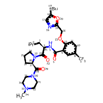 CC(C)C[C@@H](NC(=O)c1cc(C(F)(F)F)ccc1OCc1ncc(C(C)(C)C)o1)C(=O)N1CCC[C@@H]1C(=O)N1CCN(C)CC1